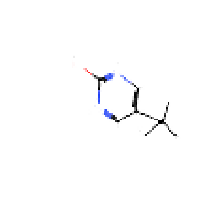 CCC(C)(C)c1cnc(O)nc1